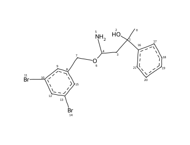 CC(O)(CC(N)OCc1cc(Br)cc(Br)c1)c1ccccc1